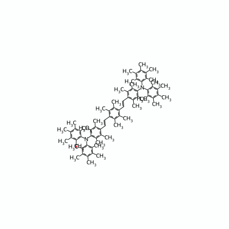 Cc1c(C)c(C)c(N(c2c(C)c(C)c(C)c(C)c2C)c2c(C)c(C)c(/C=C/c3c(C)c(C)c(/C=C/c4c(C)c(C)c(N(c5c(C)c(C)c(C)c(C)c5C)c5c(C)c(C)c(C)c(C)c5C)c(C)c4C)c(C)c3C)c(C)c2C)c(C)c1C